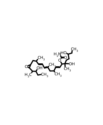 CCC(O)CCC(C)(O)C(/C=C/C(C)C/C(C)=C/C=C/C(C)CC1OC1C(C)C(O)CC)OC(N)=O